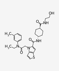 CCN(C(=O)Cn1c(C(=O)N[C@H]2CC[C@H](C(=O)NCCO)CC2)cc2sccc21)c1cccc(C)c1